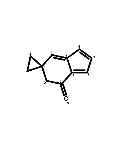 O=C1CC2(C=C3C=CC=C13)CC2